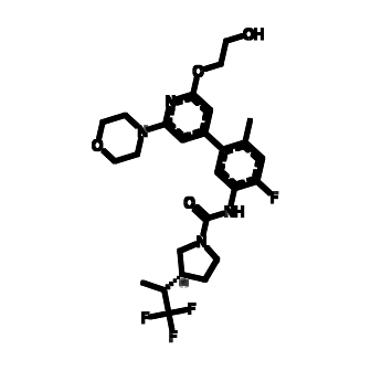 Cc1cc(F)c(NC(=O)N2CC[C@H](C(C)C(F)(F)F)C2)cc1-c1cc(OCCO)nc(N2CCOCC2)c1